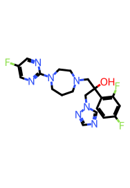 OC(CN1CCCN(c2ncc(F)cn2)CC1)(Cn1cncn1)c1ccc(F)cc1F